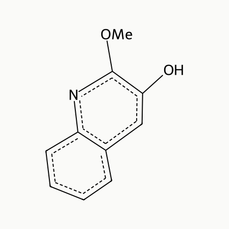 COc1nc2ccccc2cc1O